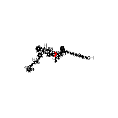 CC[C@H](C)[C@@H]([C@@H](CC(=O)N1CCC[C@H]1[C@H](OC)[C@@H](C)C(=O)N[C@@H](Cc1ccccc1)C(=O)Nc1ccc(CNC(=O)CCCCCN2C(=O)C=CC2=O)cc1)OC)N(C)C(=O)[C@@H](NC(=O)[C@@H]1C2CCC([C@H]2C)N1C(=O)CCOCCOCCOCCOCCO)C(C)C